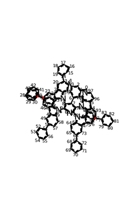 Cc1cc(C)cc(-c2c(-n3c4ccc(-c5ccccc5)cc4c4cc(-c5ccccc5)ccc43)c(-n3c4ccc(-c5ccccc5)cc4c4cc(-c5ccccc5)ccc43)nc(-n3c4ccc(-c5ccccc5)cc4c4cc(-c5ccccc5)ccc43)c2-n2c3ccccc3c3ccncc32)c1